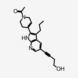 CCCc1c(C2=CCN(C(C)=O)CC2)[nH]c2ncc(C#CCCO)cc12